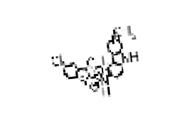 CC1c2cc(Cl)ccc2SC1S(=O)(=O)Nc1ccc2[nH]c3c(c2c1)CCN(C)C3